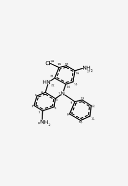 Nc1ccc2c(c1)N(c1ccccc1)c1cc(N)cc(Cl)c1N2